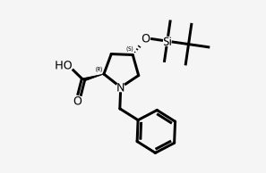 CC(C)(C)[Si](C)(C)O[C@H]1C[C@H](C(=O)O)N(Cc2ccccc2)C1